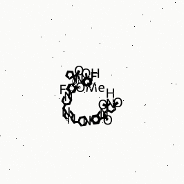 COc1cc(N2CCC(CN3CCN(CC4CCN(c5ccc6c(c5)CN(C5CCC(=O)NC5=O)C6=O)CC4)CC3)CC2)c(F)cc1[C@@H]1N(c2cccc(F)c2O)C(=O)C12CCCC2